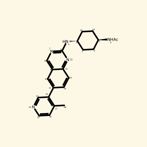 CC(=O)N[C@H]1CC[C@H](Nc2ncc3cc(-c4cnccc4C)ccc3n2)CC1